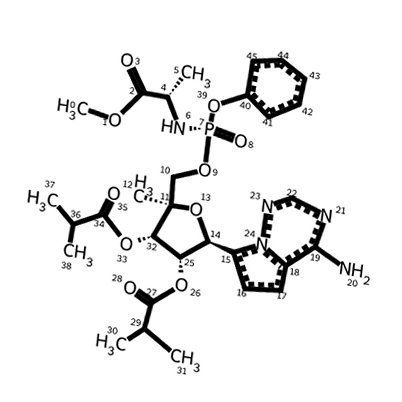 COC(=O)[C@H](C)N[P@](=O)(OC[C@@]1(C)O[C@@H](c2ccc3c(N)ncnn23)[C@H](OC(=O)C(C)C)[C@@H]1OC(=O)C(C)C)Oc1ccccc1